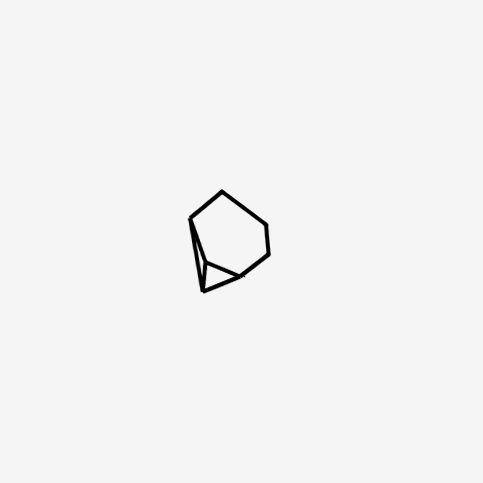 C1C[C]2C3C(C1)C23